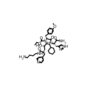 CCOC(=O)N([C@@H](Cc1ccc(OC)cc1)C(=O)N[C@@H](Cc1c[nH]cn1)C(N)=O)[C@@H](CC1CCCCC1)[C@@H](O)C[C@@H](Cc1ccncc1)C(=O)NCCCCN